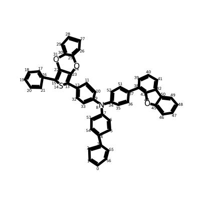 c1ccc(-c2ccc(N(c3ccc(-c4sc(-c5ccccc5)c5c4Oc4ccccc4O5)cc3)c3ccc(-c4cccc5c4oc4ccccc45)cc3)cc2)cc1